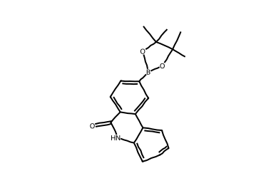 CC1(C)OB(c2ccc3c(=O)[nH]c4ccccc4c3c2)OC1(C)C